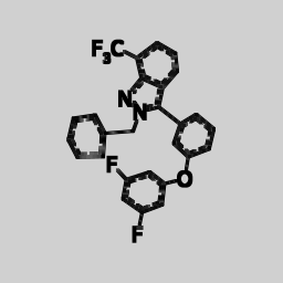 Fc1cc(F)cc(Oc2cccc(-c3c4cccc(C(F)(F)F)c4nn3Cc3ccccc3)c2)c1